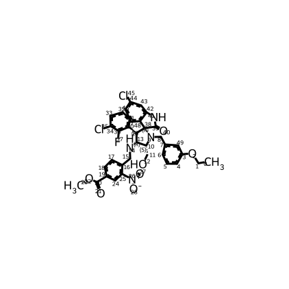 CCOc1cccc(CN2[C@H](CO)[C@H](NCc3ccc(C(=O)OC)cc3[N+](=O)[O-])[C@@H](c3cccc(Cl)c3F)[C@@]23C(=O)Nc2cc(Cl)ccc23)c1